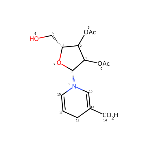 CC(=O)OC1C(OC(C)=O)[C@@H](CO)O[C@H]1N1C=CCC(C(=O)O)=C1